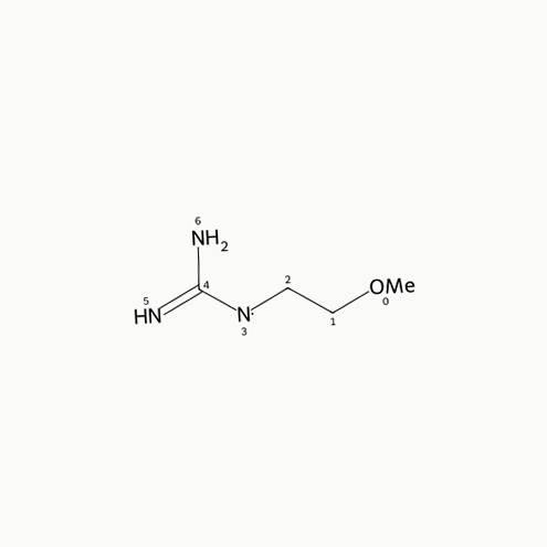 COCC[N]C(=N)N